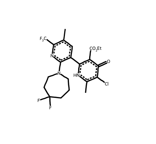 CCOC(=O)c1c(-c2cc(C)c(C(F)(F)F)nc2N2CCCC(F)(F)CC2)[nH]c(C)c(Cl)c1=O